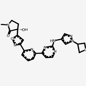 CN1CC[C@@](O)(c2cc(-c3cccc(-c4ccnc(Nc5cnn(C6COC6)c5)n4)n3)no2)C1=O